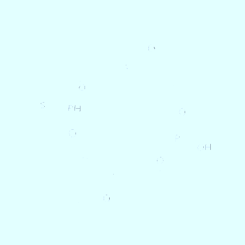 OP1OCC2OCCC2O[PH](=S)OCC2CC(CO2)O1